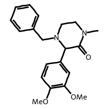 COc1ccc(C2C(=O)N(C)CCN2Cc2ccccc2)cc1OC